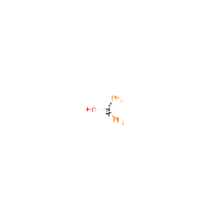 O[SiH](P)P